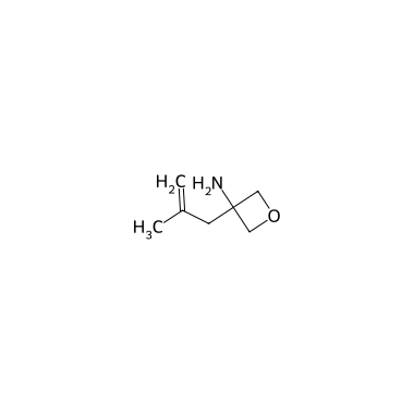 C=C(C)CC1(N)COC1